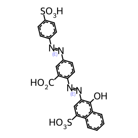 O=C(O)c1cc(/N=N/c2ccc(S(=O)(=O)O)cc2)ccc1/N=N/c1cc(S(=O)(=O)O)c2ccccc2c1O